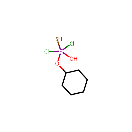 OP(S)(Cl)(Cl)OC1CCCCC1